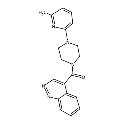 Cc1cccc(N2CCN(C(=O)c3cnnc4ccccc34)CC2)n1